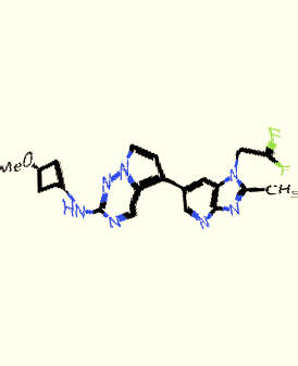 CO[C@H]1C[C@@H](Nc2ncc3c(-c4cnc5nc(C)n(CC(F)F)c5c4)ccn3n2)C1